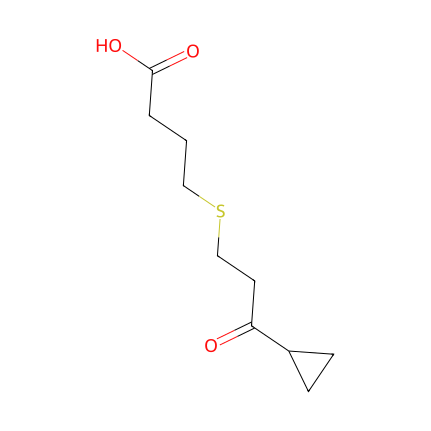 O=C(O)CCCSCCC(=O)C1CC1